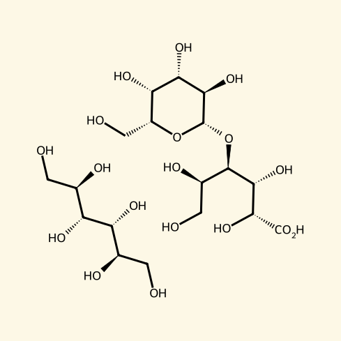 O=C(O)[C@H](O)[C@@H](O)[C@H](O[C@@H]1O[C@H](CO)[C@H](O)[C@H](O)[C@H]1O)[C@H](O)CO.OC[C@@H](O)[C@@H](O)[C@H](O)[C@H](O)CO